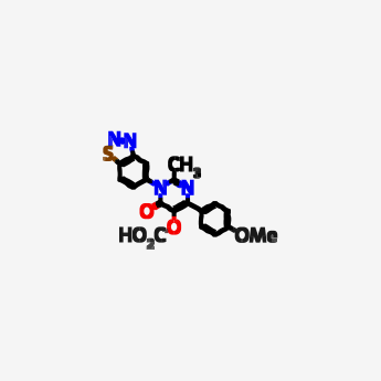 COc1ccc(-c2nc(C)n(-c3ccc4snnc4c3)c(=O)c2OC(=O)O)cc1